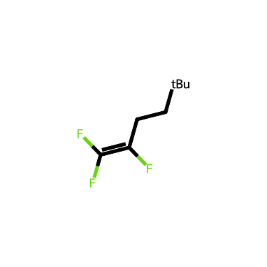 CC(C)(C)CCC(F)=C(F)F